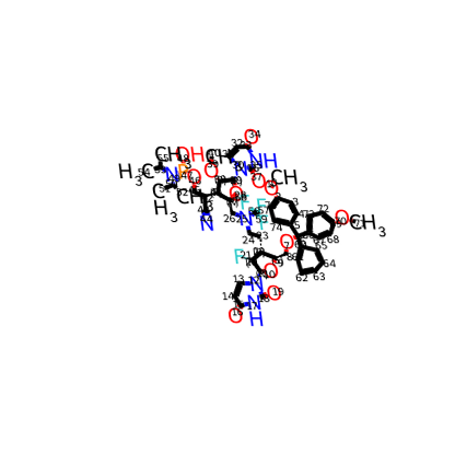 COc1ccc(C(OC[C@H]2O[C@@H](n3ccc(=O)[nH]c3=O)[C@H](F)[C@@H]2CCN(C[C@@H]2O[C@@H](n3ccc(=O)[nH]c3=O)[C@H](OC)[C@@H]2C(C#N)COP(O)N(C(C)C)C(C)C)C(F)(F)F)(c2ccccc2)c2ccc(OC)cc2)cc1